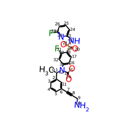 C[C@H](c1cccc(C#CCN)c1)n1c(=O)oc2cc(S(=O)(=O)Nc3cccc(F)n3)c(F)cc21